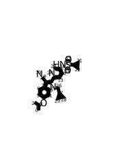 CC(C)Oc1ccc2c(C#N)c(-c3ccc(NS(=O)(=O)C4CC4)cn3)n(CC3CC3)c2c1